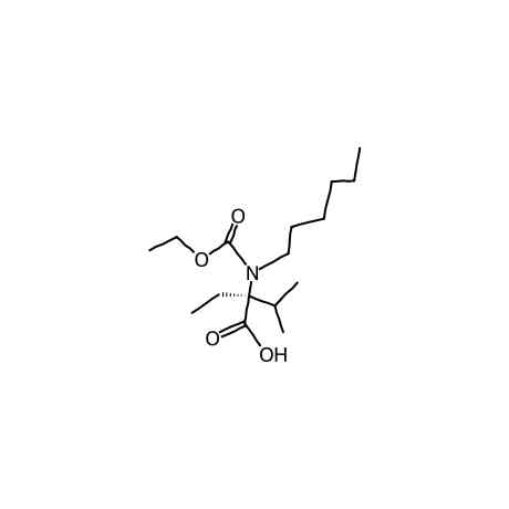 CCCCCCN(C(=O)OCC)[C@](CC)(C(=O)O)C(C)C